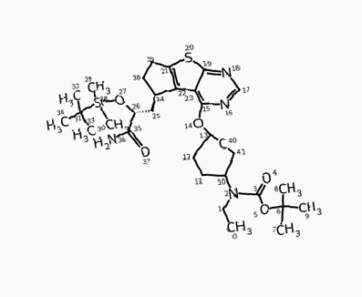 CCN(C(=O)OC(C)(C)C)C1CCC(Oc2ncnc3sc4c(c23)[C@@H](C[C@@H](O[Si](C)(C)C(C)(C)C)C(N)=O)CC4)CC1